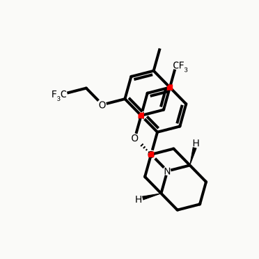 Cc1ccc(O[C@H]2C[C@H]3CCC[C@@H](C2)N3Oc2ccc(C(F)(F)F)cn2)c(OCC(F)(F)F)c1